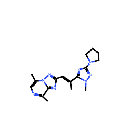 C/C(=C\c1nc2c(C)ncc(C)n2n1)c1nc(N2CCCC2)nn1C